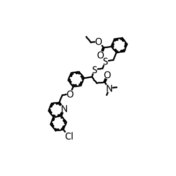 CCOC(=O)c1ccccc1CSCSC(CC(=O)N(C)C)c1cccc(OCc2ccc3ccc(Cl)cc3n2)c1